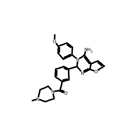 COc1ccc(N2C(N)=c3ccoc3=NC2c2cccc(C(=O)N3CCN(C)CC3)c2)cc1